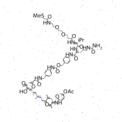 CSCC(=O)NCCOCCOCCC(=O)N[C@@H](C(=O)N[C@H](CCCNC(N)=O)C(=O)Nc1ccc(COC(=O)Nc2ccc(CNC(=O)C[C@@H]3C[C@@]4(CO4)[C@H](O)[C@@H](/C=C/C(C)=C/C[C@@H]4O[C@H](C)[C@H](NC(=O)/C=C\[C@H](C)OC(C)=O)C[C@@H]4C)O3)cc2)cc1)C(C)C